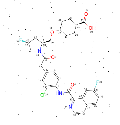 O=C(Nc1ccc(CC(=O)N2C[C@@H](F)C[C@H]2CO[C@H]2CC[C@H](C(=O)O)CC2)cc1Cl)c1nccc2ccc(F)cc12